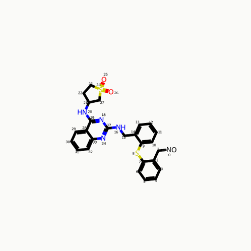 O=NCc1ccccc1Sc1ccccc1CNc1nc(NC2CCS(=O)(=O)C2)c2ccccc2n1